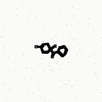 O=C(c1ccccc1)C1(Cl)C=CC(Cl)=CC1